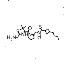 CCCCC1CC(C(=S)NC[C@H]2CCCN2C(=O)[C@@H](NC(=S)CN)C(C)(C)C)C1